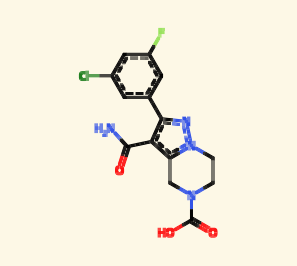 NC(=O)c1c(-c2cc(F)cc(Cl)c2)nn2c1CN(C(=O)O)CC2